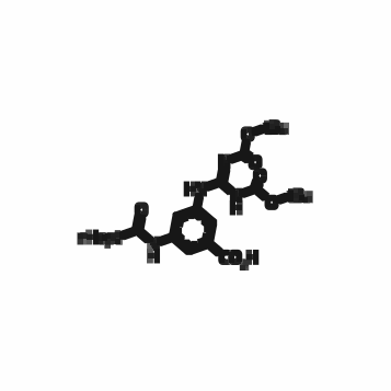 CCCCCCCC(=O)Nc1cc(N/C(=N/C(=O)OC(C)(C)C)NC(=O)OC(C)(C)C)cc(C(=O)O)c1